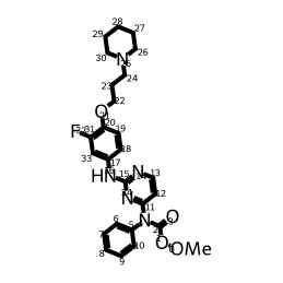 COOC(=O)N(c1ccccc1)c1ccnc(Nc2ccc(OCCCN3CCCCC3)c(F)c2)n1